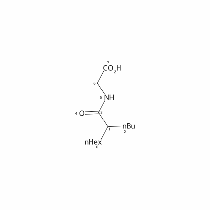 CCCCCCC(CCCC)C(=O)NCC(=O)O